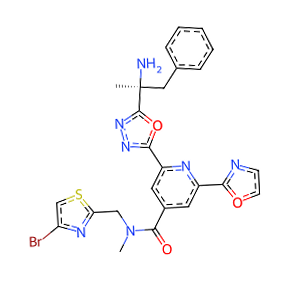 CN(Cc1nc(Br)cs1)C(=O)c1cc(-c2ncco2)nc(-c2nnc([C@@](C)(N)Cc3ccccc3)o2)c1